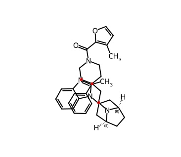 Cc1ccoc1C(=O)N1CCC(CCN2[C@@H]3CC[C@H]2CC(n2c(C)nc4ccccc42)C3)(c2ccccc2)CC1